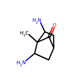 CC12C(=O)C(CC1N)CC2N